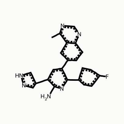 Cc1ncnc2ccc(-c3cc(-c4cn[nH]c4)c(N)nc3-c3ccc(F)cc3)cc12